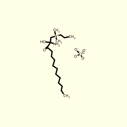 CCCCCCCCCCCC(=O)C(N)(O)C[N+](C)(C)CCC.[O-][Cl+3]([O-])([O-])[O-]